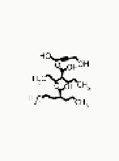 CCCC(CCC)C(=O)O.CCCC(CCC)C(=O)O.OCC#CCO